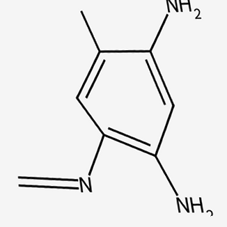 C=Nc1cc(C)c(N)cc1N